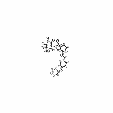 [2H]C1([2H])C(=O)NC(=O)C(N2Cc3c(OCc4ccc(CN5CCOCC5)cc4)cccc3C2=O)C1([2H])[2H]